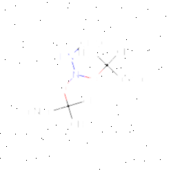 CCCCCCCCCC(C)(C)ON(NC=O)OC(C)(C)CCCCCCCCC